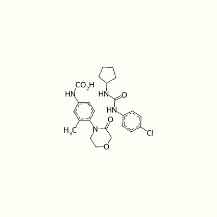 Cc1cc(NC(=O)O)ccc1N1CCOCC1=O.O=C(Nc1ccc(Cl)cc1)NC1CCCC1